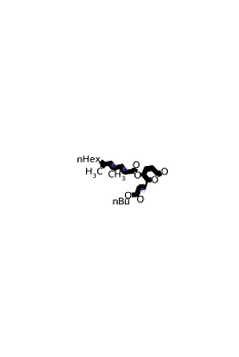 CCCCCCC(C)/C=C(C)/C=C/C(=O)O[C@H]1C=CC(=O)O[C@H]1/C=C/C(=O)OCCCC